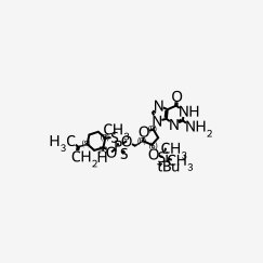 C=C(C)[C@H]1CC[C@@]2(C)SP(=S)(OC[C@H]3O[C@@H](n4cnc5c(=O)[nH]c(N)nc54)C[C@@H]3O[Si](C)(C)C(C)(C)C)O[C@@H]2C1